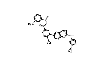 CCC(NC(=O)c1ccc(C2CC2)c(-c2ccc3nc(Nc4cnn(C5CC5)c4)ncc3c2)c1)c1cccc(C)c1